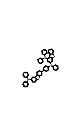 c1ccc(N(c2ccc(-c3ccc4c(c3)sc3ccc(N(c5ccccc5)c5ccccc5)cc34)cc2)c2cc(N(c3ccccc3)c3ccccc3)c3c(c2)sc2ccccc23)cc1